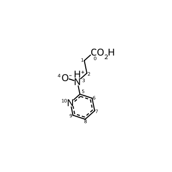 O=C(O)CC[NH+]([O-])c1ccccn1